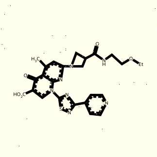 CCOCCNC(=O)C1CN(c2cc(C)c3c(=O)c(C(=O)O)cn(-c4nc(-c5ccncc5)ns4)c3n2)C1